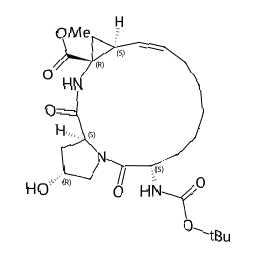 COC(=O)[C@@]12C[C@H]1C=CCCCCC[C@H](NC(=O)OC(C)(C)C)C(=O)N1C[C@H](O)C[C@H]1C(=O)N2